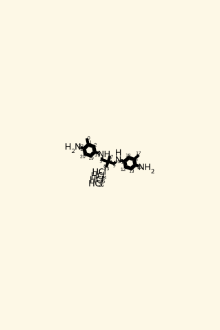 Cc1cc(NCC(C)(C)CNc2ccc(N)c(C)c2)ccc1N.Cl.Cl.Cl.Cl